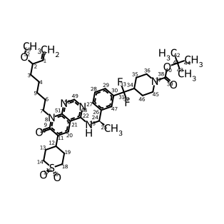 C=CC(CCCCCn1c(=O)c(C2CCS(=O)(=O)CC2)cc2c(N[C@H](C)c3cccc(C(F)(F)C4CCN(C(=O)OC(C)(C)C)CC4)c3)ncnc21)OC